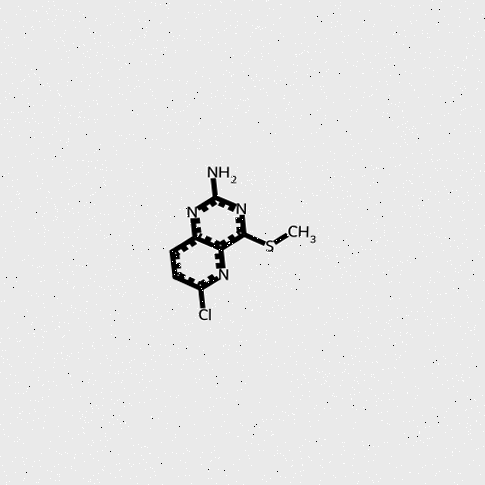 CSc1nc(N)nc2ccc(Cl)nc12